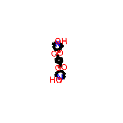 CC1(C)CCC(OC(=O)c2ccc(C(=O)OC3CCC(C)(C)N(O)C(C)(C)C3)cc2)CC(C)(C)N1O